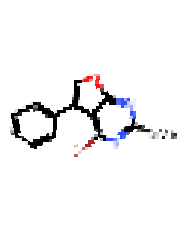 CSc1nc(Br)c2c(-c3ccccc3)coc2n1